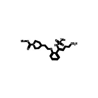 CC[C@H](C)S(=O)(=O)NC(=CCCC(=O)O)c1ccccc1OCCC1CCN(C(=O)OC(C)(C)C)CC1